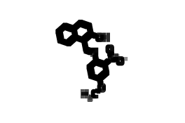 COc1ccc(/N=C/c2c(O)ccc3ccccc23)c([N+](=O)[O-])c1